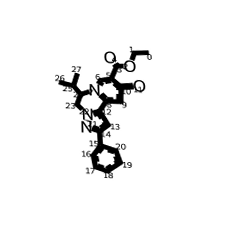 CCOC(=O)c1cn2c(cc1=O)-c1cc(-c3ccccc3)nn1CC2C(C)C